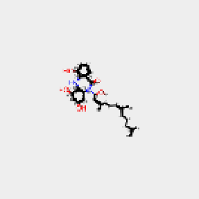 COC(C=C(C)CCC=C(C)CCCC(C)C)N1C(=O)c2cccc(O)c2Nc2c(O)cc(O)cc21